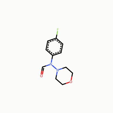 O=CN(c1ccc(F)cc1)N1CCOCC1